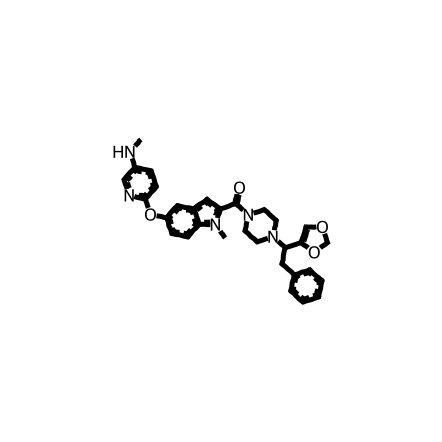 CNc1ccc(Oc2ccc3c(c2)cc(C(=O)N2CCN(C(Cc4ccccc4)C4=COCO4)CC2)n3C)nc1